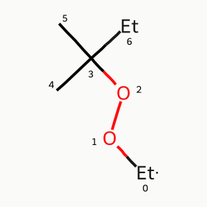 C[CH]OOC(C)(C)CC